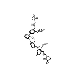 COc1cc(-c2nccc(-c3cccc(Nc4cc(F)cc(CNC[C@H]5CCC(=O)N5)c4OC)c3C)c2Cl)ccc1CNC[C@H]1CCC(=O)N1